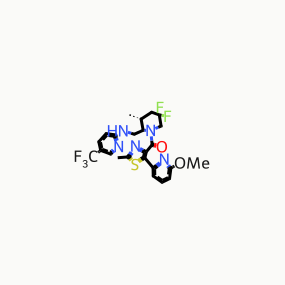 COc1cccc(-c2sc(C)nc2C(=O)N2CC(F)(F)C[C@@H](C)C2CNc2ccc(C(F)(F)F)cn2)n1